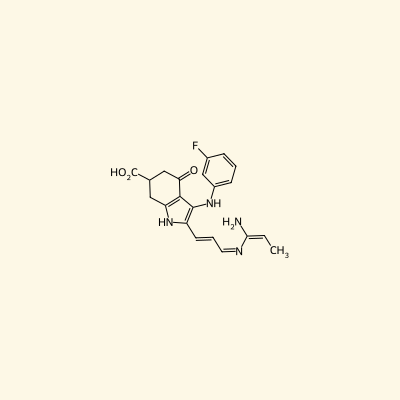 C\C=C(N)/N=C\C=C\c1[nH]c2c(c1Nc1cccc(F)c1)C(=O)CC(C(=O)O)C2